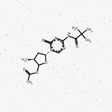 CC(=O)OC1O[C@@H](n2cnc(NC(=O)C(C)(C)C)nc2=O)C[C@@H]1C